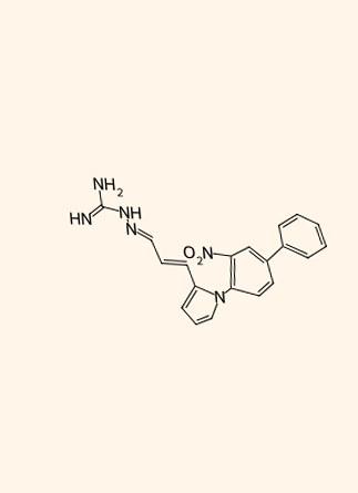 N=C(N)N/N=C/C=C/c1cccn1-c1ccc(-c2ccccc2)cc1[N+](=O)[O-]